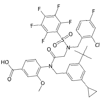 COc1cc(C(=O)O)ccc1N(Cc1cc(C2CC2)cc(C(C)(C)C)c1)C(=O)CN(Cc1ccc(F)cc1Cl)S(=O)(=O)c1c(F)c(F)c(F)c(F)c1F